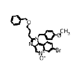 COc1ccc(Cn2c(CCCOCc3ccccc3)nc3c[n+]([O-])c4cc(Br)ccc4c32)cc1